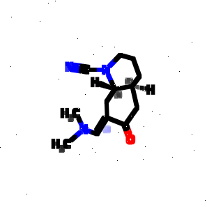 CN(C)/C=C1\C[C@H]2[C@@H](CCCN2C#N)CC1=O